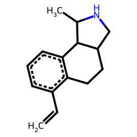 C=Cc1cccc2c1CCC1CNC(C)C21